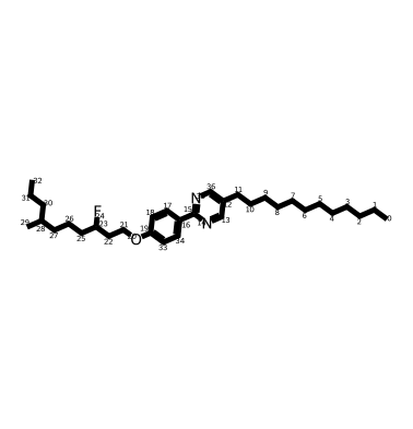 CCCCCCCCCCCCc1cnc(-c2ccc(OCCC(F)CCCC(C)CCC)cc2)nc1